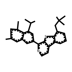 Cc1cc(C)c2c(C(C)C)cc(-c3nccc4c3sc3c(CC(C)(C)C)cccc34)cc2c1